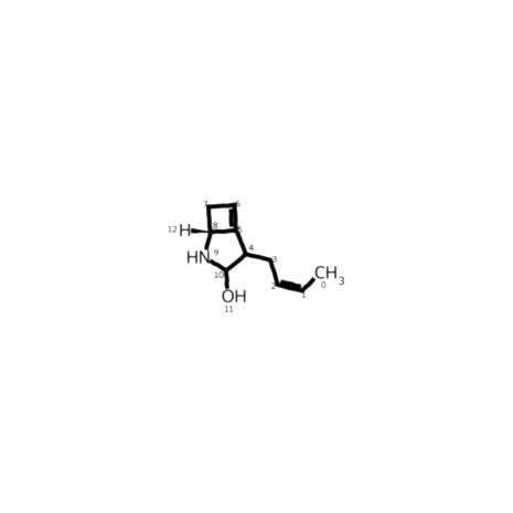 C/C=C\CC1C2=CC[C@H]2NC1O